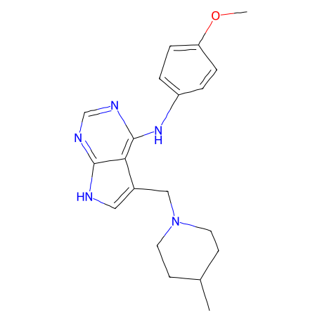 COc1ccc(Nc2ncnc3[nH]cc(CN4CCC(C)CC4)c23)cc1